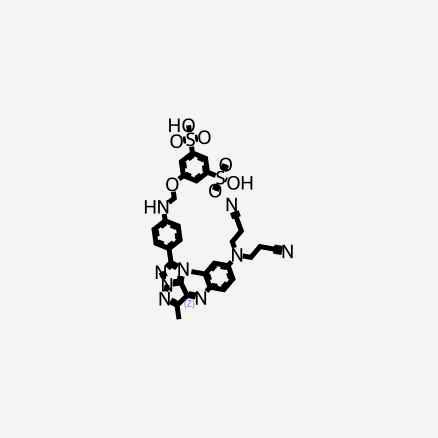 CC1=Nn2nc(-c3ccc(NCOc4cc(S(=O)(=O)O)cc(S(=O)(=O)O)c4)cc3)nc2/C1=N\c1ccc(N(CCC#N)CCC#N)cc1C